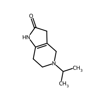 CC(C)N1CCC2=C(CC(=O)N2)C1